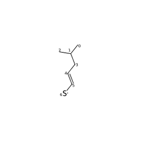 CC(C)CC=C[S]